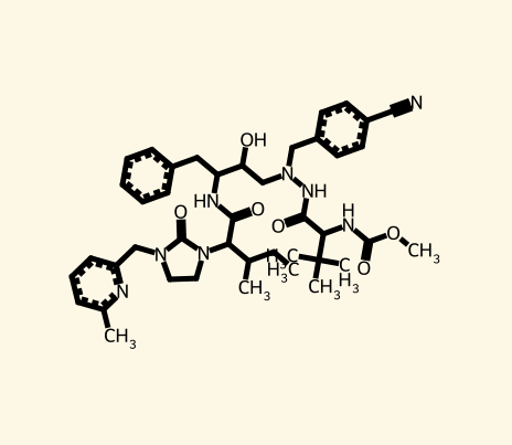 CCC(C)C(C(=O)NC(Cc1ccccc1)C(O)CN(Cc1ccc(C#N)cc1)NC(=O)C(NC(=O)OC)C(C)(C)C)N1CCN(Cc2cccc(C)n2)C1=O